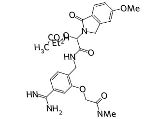 CC(=O)O.CCOC(C(=O)NCc1ccc(C(=N)N)cc1OCC(=O)NC)N1Cc2cc(OC)ccc2C1=O